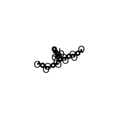 CC(=O)C1CCC(C(=O)OCC2CCC(C(=O)Oc3ccc(OC(=O)C4CCC(OC(=O)C5CCC(C(C)=O)CC5)CC4)c4c3C(=O)N(c3nc5ccccc5s3)C4=O)CC2)CC1